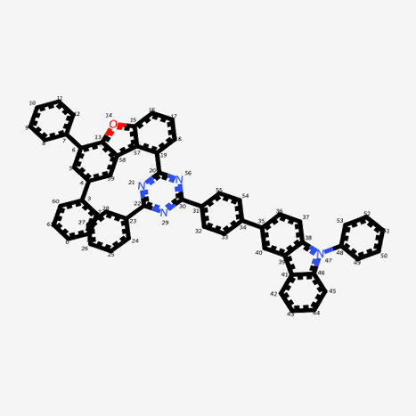 c1ccc(-c2cc(-c3ccccc3)c3oc4cccc(-c5nc(-c6ccccc6)nc(-c6ccc(-c7ccc8c(c7)c7ccccc7n8-c7ccccc7)cc6)n5)c4c3c2)cc1